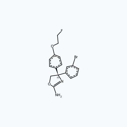 NC1=N[C@@](c2ccc(OCCF)cc2)(c2cccc(Br)c2)CO1